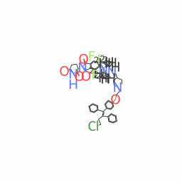 [2H]C1([2H])N(CC2CCN(CCOc3ccc(C(=C(CCCl)c4ccccc4)c4ccccc4)cc3)CC2)C([2H])([2H])C([2H])([2H])N(c2c(F)c(F)c3c(c2F)C(=O)N(C2CCC(=O)NC2=O)C3=O)C1([2H])[2H]